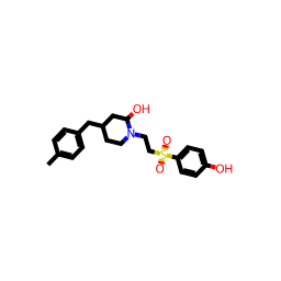 Cc1ccc(CC2CCN(CCS(=O)(=O)c3ccc(O)cc3)C(O)C2)cc1